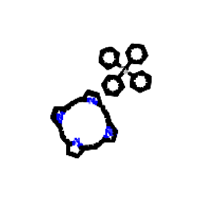 C1=Cc2cc3ccc(cc4nc(cc5ccc(cc1n2)[nH]5)C=C4)[nH]3.c1cc[c]([Zr]([c]2ccccc2)([c]2ccccc2)[c]2ccccc2)cc1